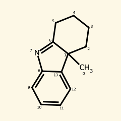 CC12CCCCC1=Nc1ccccc12